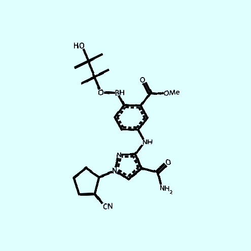 COC(=O)c1cc(Nc2nn(C3CCCC3C#N)cc2C(N)=O)ccc1BOC(C)(C)C(C)(C)O